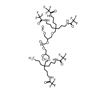 CCCCC(CCCNC(=O)C(F)(F)F)(CCCNC(=O)C(F)(F)F)COCC(CO[PH](=O)OC(COCC(CCCNC(=O)C(F)(F)F)(CCCNC(=O)C(F)(F)F)CCCNC(=O)C(F)(F)F)COP=O)OC